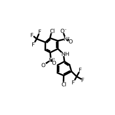 O=[N+]([O-])c1cc(C(F)(F)F)c(Cl)c([N+](=O)[O-])c1Nc1ccc(Cl)c(C(F)(F)F)c1